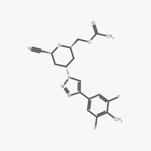 CC(=O)OC[C@H]1C[C@H](n2cc(-c3cc(F)c(C)c(F)c3)nn2)C[C@@H](C#N)O1